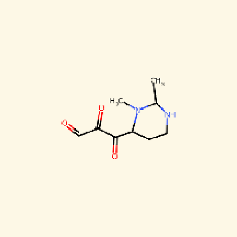 CC1NCCC(C(=O)C(=O)C=O)N1C